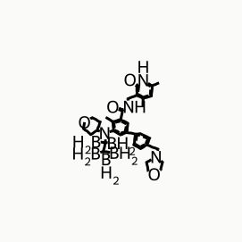 BC(B)(B)C(B)(B)N(c1cc(-c2ccc(CN3CCOCC3)cc2)cc(C(=O)NCc2c(C)cc(C)[nH]c2=O)c1C)C1CCOCC1